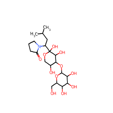 CC(C)CC(N1CCCC1=O)C1(O)OCC(O)C(OC2OC(CO)C(O)C(O)C2O)C1O